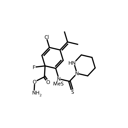 CSN(C(=S)N1CCCCN1)C1=CC(=C(C)C)C(Cl)=CC1(F)C(=O)ON